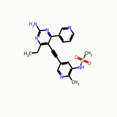 CCc1nc(N)nc(-c2cccnc2)c1C#Cc1cnc(C)c(NS(C)(=O)=O)c1